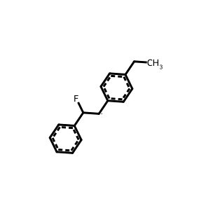 CCc1ccc([CH]C(F)c2ccccc2)cc1